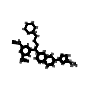 COc1cc(OC)cc(N(CCCN2CCCCC2)c2ccc3ncc(-c4cnn(C)c4)nc3c2)c1